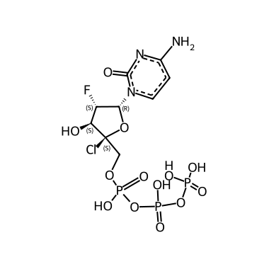 Nc1ccn([C@@H]2O[C@](Cl)(COP(=O)(O)OP(=O)(O)OP(=O)(O)O)[C@@H](O)[C@@H]2F)c(=O)n1